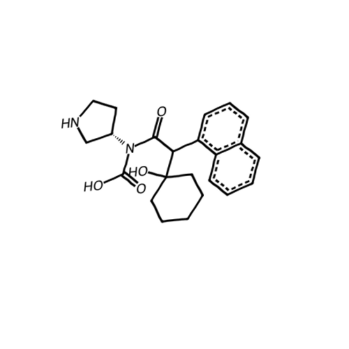 O=C(O)N(C(=O)C(c1cccc2ccccc12)C1(O)CCCCC1)[C@H]1CCNC1